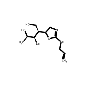 C=CCNC1=NCC([C@H](CO)[C@@H](O)[C@@H](C)O)O1